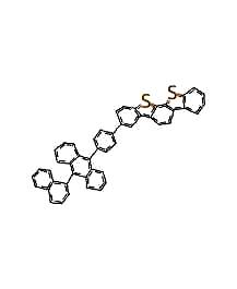 c1ccc2c(-c3c4ccccc4c(-c4ccc(-c5ccc6sc7c(ccc8c9ccccc9sc87)c6c5)cc4)c4ccccc34)cccc2c1